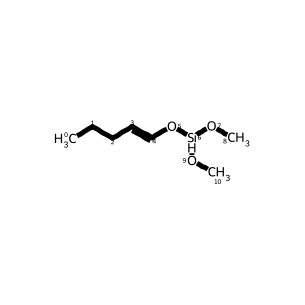 CCCC=CO[SiH](OC)OC